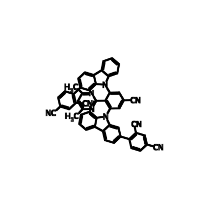 Cc1cc(C)nc(-c2c(-n3c4ccccc4c4ccc(-c5ccc(C#N)cc5C#N)cc43)cc(C#N)cc2-n2c3ccccc3c3ccc(-c4ccc(C#N)cc4C#N)cc32)n1